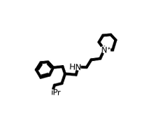 CC(C)CCC(CNCCC[N+]1CCCCC1)Cc1ccccc1